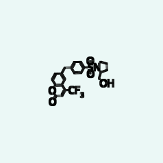 O=c1cc(C(F)(F)F)c2cc(Cc3ccc(S(=O)(=O)N4CCCC4CO)cc3)ccc2o1